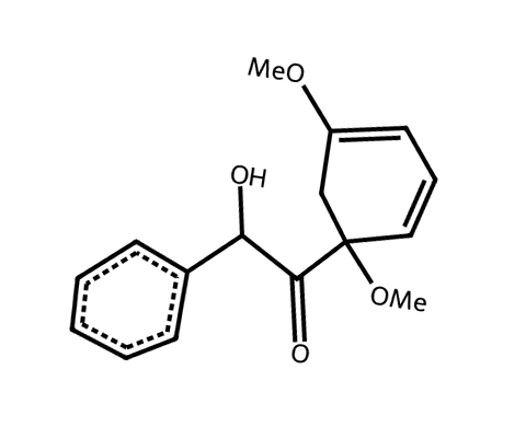 COC1=CC=CC(OC)(C(=O)C(O)c2ccccc2)C1